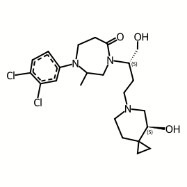 CC1CN([C@H](CO)CCN2CCC3(CC3)[C@H](O)C2)C(=O)CCN1c1ccc(Cl)c(Cl)c1